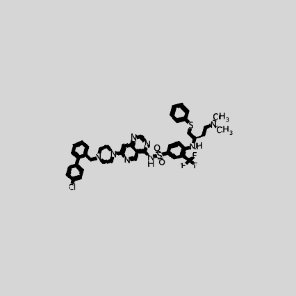 CN(C)CC[C@H](CSc1ccccc1)Nc1ccc(S(=O)(=O)Nc2ncnc3cc(N4CCN(Cc5ccccc5-c5ccc(Cl)cc5)CC4)ncc23)cc1C(F)(F)F